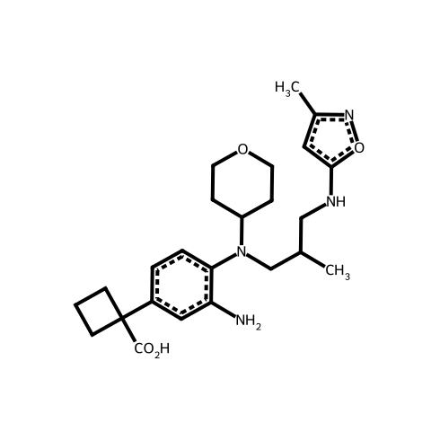 Cc1cc(NCC(C)CN(c2ccc(C3(C(=O)O)CCC3)cc2N)C2CCOCC2)on1